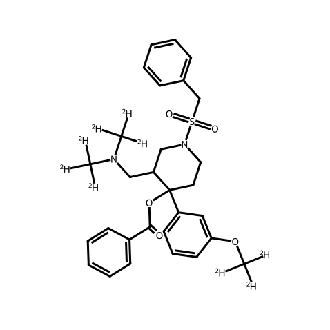 [2H]C([2H])([2H])Oc1cccc(C2(OC(=O)c3ccccc3)CCN(S(=O)(=O)Cc3ccccc3)CC2CN(C([2H])([2H])[2H])C([2H])([2H])[2H])c1